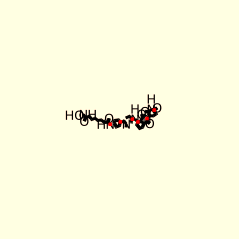 CCC(CN(C)Cc1ccc(NC(=O)CCCCCCC(=O)NO)cc1)Nc1cccc2c1C(=O)N(C1CCC(=O)NC1=O)C2=O